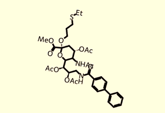 CCSCCCO[C@]1(C(=O)OC)C[C@H](OC(C)=O)C(NC(C)=O)C([C@H](OC(C)=O)[C@@H](CNC(=O)c2ccc(-c3ccccc3)cc2)OC(C)=O)O1